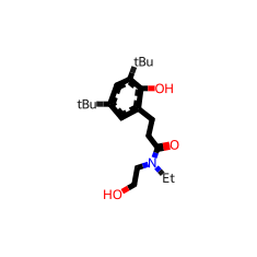 CCN(CCO)C(=O)CCc1cc(C(C)(C)C)cc(C(C)(C)C)c1O